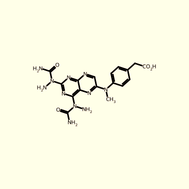 CN(c1ccc(CC(=O)O)cc1)c1cnc2nc(N(N)C(N)=O)nc(N(N)C(N)=O)c2n1